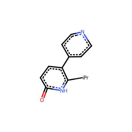 CC(C)c1[nH]c(=O)ccc1-c1ccncc1